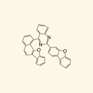 c1cc(-c2nc(-c3ccc4c(c3)oc3ccccc34)nc3ccccc23)c2c(c1)ccc1c3ccccc3oc12